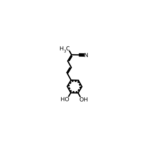 C/C(C#N)=C/C=C/c1ccc(O)c(O)c1